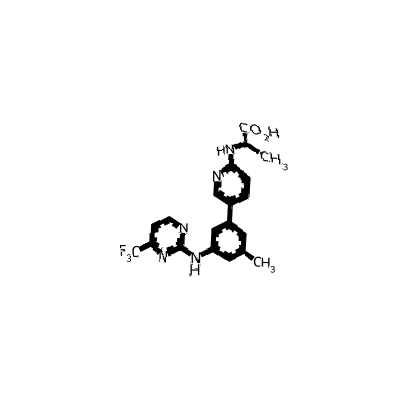 Cc1cc(Nc2nccc(C(F)(F)F)n2)cc(-c2ccc(N[C@H](C)C(=O)O)nc2)c1